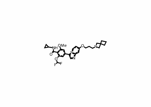 COc1cc(-c2cnc3cc(OCCCN4CC5(CCC5)C4)ccn23)cc(OC(F)F)c1C(=O)NC1CC1